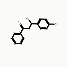 N#Cc1ccc(C(C#N)CC(=O)c2ccccc2)cc1